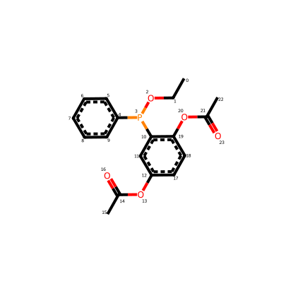 CCOP(c1ccccc1)c1cc(OC(C)=O)ccc1OC(C)=O